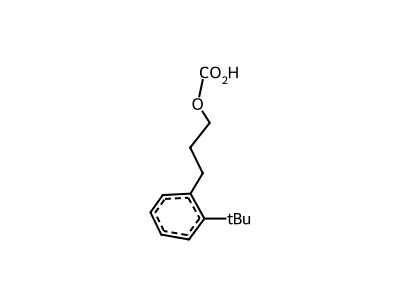 CC(C)(C)c1ccccc1CCCOC(=O)O